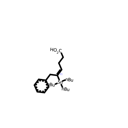 CCC[CH2][Sn]([CH2]CCC)([CH2]CCC)/[C](=C/CCC(=O)O)Cc1ccccc1